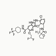 CC1(C(=O)NCc2ccc(Cl)c(Nc3nc4nc(OCC(F)F)c(C(=O)N[C@H]5CC[C@H](C(F)(F)F)CC5)cc4[nH]3)c2Cl)CCCO1